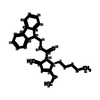 C=C1C=C(OC)[C@@H](CCCCC)N1C(=O)OCC1c2ccccc2-c2ccccc21